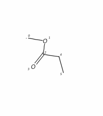 [CH2]OC(=O)CC